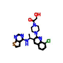 C[C@H](Nc1ncnc2sccc12)c1cc2cccc(Cl)c2nc1N1CCN(C(=O)CO)CC1